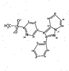 CS(=O)(=O)c1ccc(-c2c(-c3ccccc3)nn3ccccc23)cn1